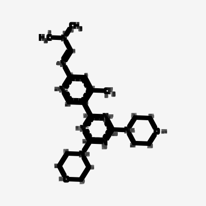 CN(C)C=Nc1cc(C(F)(F)F)c(-c2nc(N3CCOCC3)nc(N3CCOCC3)n2)cn1